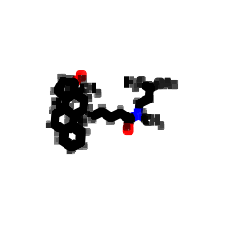 CC(=O)OC(C)CCN(C)C(=O)CCCC[C@H]1C[C@]2(C)C(=O)CC[C@H]2[C@@H]2CCc3ccccc3[C@@H]12